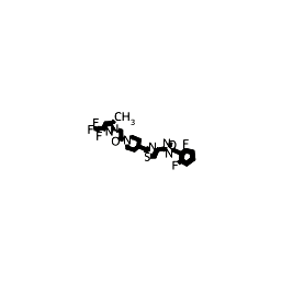 Cc1cc(C(F)(F)F)nn1CC(=O)N1CCC(c2nc(-c3noc(-c4c(F)cccc4F)n3)cs2)CC1